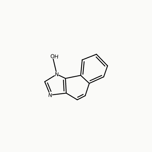 On1cnc2ccc3ccccc3c21